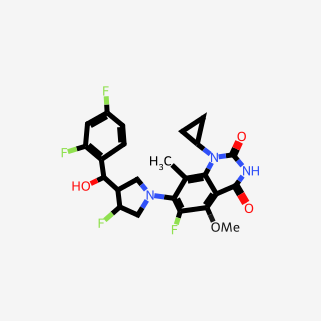 COc1c(F)c(N2CC(F)C(C(O)c3ccc(F)cc3F)C2)c(C)c2c1c(=O)[nH]c(=O)n2C1CC1